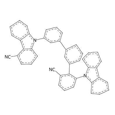 N#Cc1cccc(-n2c3ccccc3c3ccccc32)c1-c1cccc(-c2cccc(-n3c4ccccc4c4c(C#N)cccc43)c2)c1